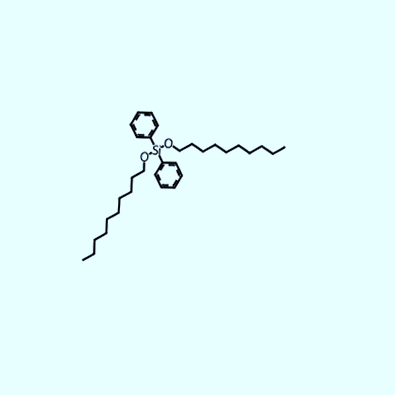 CCCCCCCCCCO[Si](OCCCCCCCCCC)(c1ccccc1)c1ccccc1